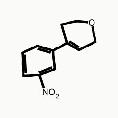 O=[N+]([O-])c1cccc(C2=CCOCC2)c1